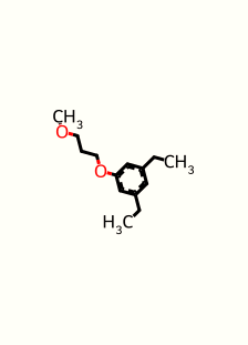 CCc1cc(CC)cc(OCCCOC)c1